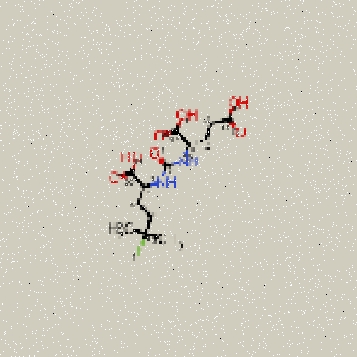 CC(C)(F)CC[C@H](NC(=O)N[C@@H](CCC(=O)O)C(=O)O)C(=O)O